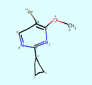 COc1nc(C2CC2)ncc1Br